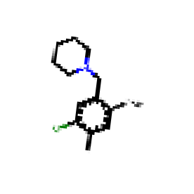 COc1cc(C)c(Cl)cc1CN1CCCCC1